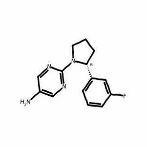 Nc1cnc(N2CCC[C@@H]2c2cccc(F)c2)nc1